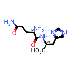 NC(=O)CC[C@H](N)C(=O)N[C@@H](Cc1c[nH]cn1)C(=O)O